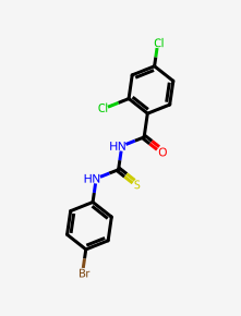 O=C(NC(=S)Nc1ccc(Br)cc1)c1ccc(Cl)cc1Cl